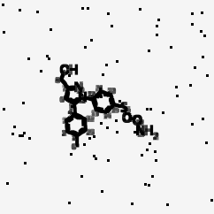 Cc1ccc(-c2cc(CO)nn2-c2ccc(SOON)cc2)cc1